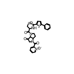 CC(C)CC(NC(=O)c1ccc(-c2ccccc2)s1)C(=O)N1CCC2C1C(=O)CN2C(=O)c1cccc[n+]1[O-]